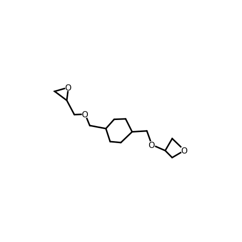 C1CC(COC2COC2)CCC1COCC1CO1